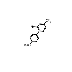 [2H]c1cc(C(F)(F)F)ccc1-c1ccc(OC)cc1